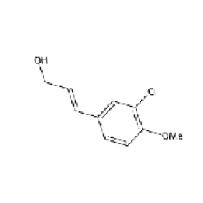 COc1ccc(C=CCO)cc1Cl